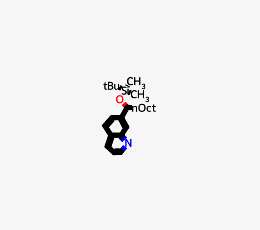 CCCCCCCCC(O[Si](C)(C)C(C)(C)C)c1ccc2cccnc2c1